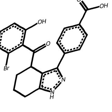 O=C(O)c1ccc(-c2n[nH]c3c2C(C(=O)c2c(O)cccc2Br)CCC3)cc1